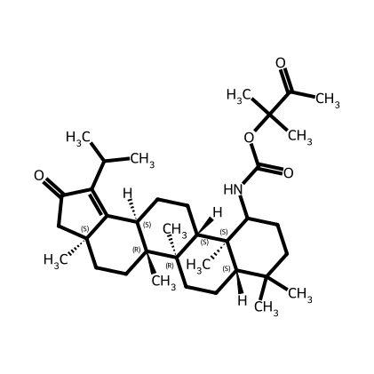 CC(=O)C(C)(C)OC(=O)NC1CCC(C)(C)[C@@H]2CC[C@]3(C)[C@H](CC[C@@H]4C5=C(C(C)C)C(=O)C[C@]5(C)CC[C@]43C)[C@@]12C